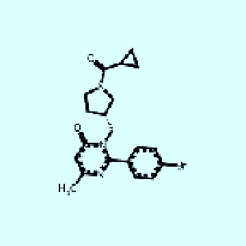 Cc1cc(=O)n(C[C@@H]2CCN(C(=O)C3CC3)C2)c(-c2ccc(Br)cc2)n1